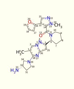 Cc1cn2nc([C@@H]3CCCCN3C(=O)c3c(-c4ccco4)cnn3C)cc2nc1N1CC[C@H](N)C1